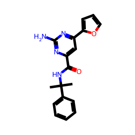 CC(C)(NC(=O)c1cc(-c2ccco2)nc(N)n1)c1ccccc1